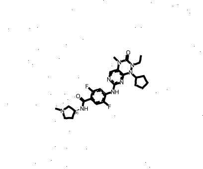 CCN1C(=O)N(C)c2cnc(Nc3cc(F)c(C(=O)N[C@@H]4CCN(C)C4)cc3F)nc2N1C1CCCC1